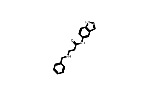 O=C(CCNCc1ccccc1)Nc1ccc2[nH]ncc2c1